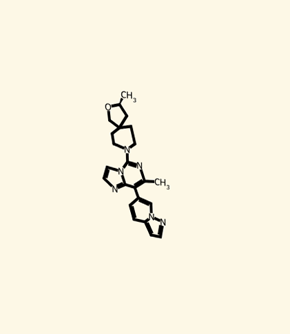 Cc1nc(N2CCC3(CC2)CO[C@@H](C)C3)n2ccnc2c1-c1ccc2ccnn2c1